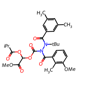 COC(=O)C(OC(=O)C(C)C)OC(=O)N(C(=O)c1cccc(OC)c1C)N(C(=O)c1cc(C)cc(C)c1)C(C)(C)C